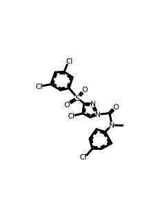 CN(C(=O)n1cc(Cl)c(S(=O)(=O)c2cc(Cl)cc(Cl)c2)n1)c1ccc(Cl)cc1